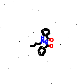 CCCCNN(C(=O)c1ccccc1)C(=O)c1ccccc1